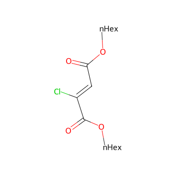 CCCCCCOC(=O)C=C(Cl)C(=O)OCCCCCC